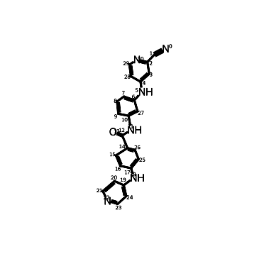 N#Cc1cc(Nc2cccc(NC(=O)c3ccc(Nc4ccncc4)cc3)c2)ccn1